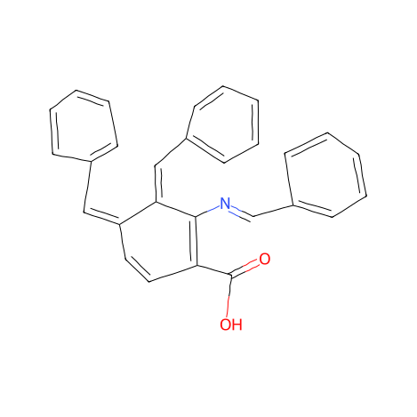 O=C(O)c1ccc(=Cc2ccccc2)c(=Cc2ccccc2)c1N=Cc1ccccc1